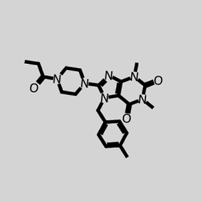 CCC(=O)N1CCN(c2nc3c(c(=O)n(C)c(=O)n3C)n2Cc2ccc(C)cc2)CC1